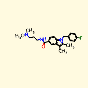 Cc1c(C)n(Cc2ccc(F)cc2)c2ccc(C(=O)NCCCN(C)C)cc12